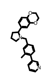 Cc1cc(CN2CCCC2c2ccc3c(c2)OCCO3)ccc1-c1cccnc1